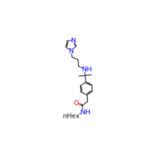 CCCCCCNC(=O)Cc1ccc(C(C)(C)NCCCn2ccnc2)cc1